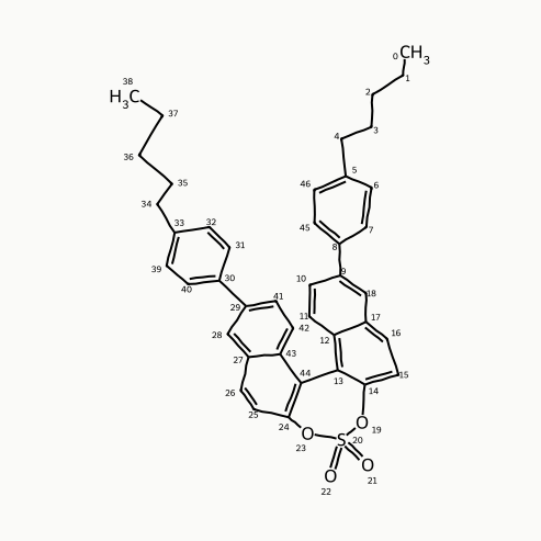 CCCCCc1ccc(-c2ccc3c4c(ccc3c2)OS(=O)(=O)Oc2ccc3cc(-c5ccc(CCCCC)cc5)ccc3c2-4)cc1